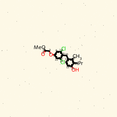 COC(=O)COc1cc(Cl)c(Cc2ccc(O)c(C(C)C)c2C)c(Cl)c1